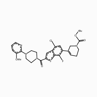 COc1cccnc1N1CCN(C(=O)c2cc3c(Cl)cc(C4=CCCN(C(=O)OC(C)(C)C)C4)c(F)c3s2)CC1